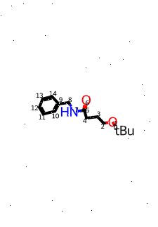 CC(C)(C)OCCCC(=O)NCc1ccccc1